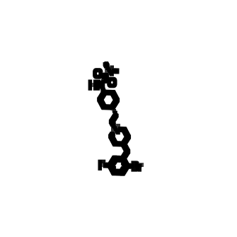 CN(C)S(=O)(=O)N[C@H]1CC[C@H](CCN2CCC(Cc3cc(F)ccc3Br)CC2)CC1